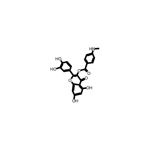 CNc1ccc(C(=O)Oc2c(-c3ccc(O)c(O)c3)oc3cc(O)cc(O)c3c2=O)cc1